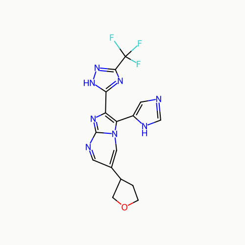 FC(F)(F)c1n[nH]c(-c2nc3ncc(C4CCOC4)cn3c2-c2cnc[nH]2)n1